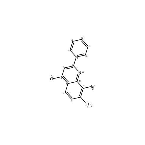 Cc1ccc2c(Cl)cc(-c3ccccc3)nc2c1Br